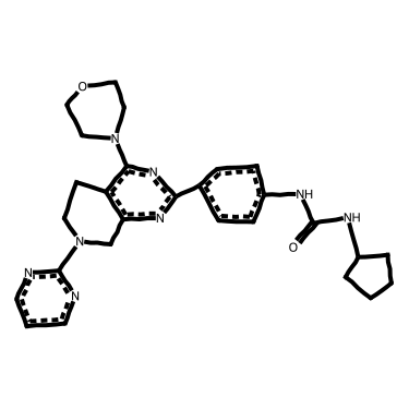 O=C(Nc1ccc(-c2nc3c(c(N4CCOCC4)n2)CCN(c2ncccn2)C3)cc1)NC1CCCC1